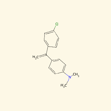 C=C(c1ccc(Cl)cc1)c1ccc(N(C)C)cc1